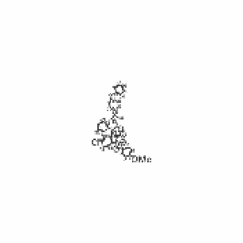 COc1ccc(S(=O)(=O)n2c(=O)n(C(C(=O)N3CC(N4CCN(Cc5ccccc5)CC4)C3)c3ccccc3)c3cc(Cl)ccc32)cc1